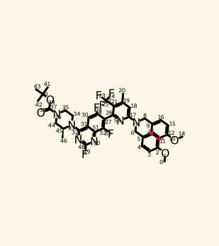 COc1ccc(CN(Cc2ccc(OC)cc2)c2cc(C)c(C(F)(F)F)c(-c3c(F)cc4c(N5CCN(C(=O)OC(C)(C)C)C[C@@H]5C)nc(F)nc4c3F)n2)cc1